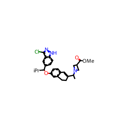 COC(=O)C1CN(C(C)C2=Cc3ccc(OC(c4ccc5[nH]nc(Cl)c5c4)C(C)C)cc3CC2)C1